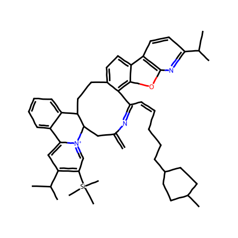 C=C1CC2C(CCc3ccc4c(oc5nc(C(C)C)ccc54)c3C(/C=C\CCCC3CCC(C)CC3)=N\1)c1ccccc1-c1cc(C(C)C)c([Si](C)(C)C)c[n+]12